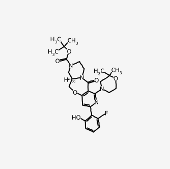 CC(C)(C)OC(=O)N1CCN2C(=O)c3c(cc(-c4c(O)cccc4F)nc3N3CCOC(C)(C)C3)OC[C@H]2C1